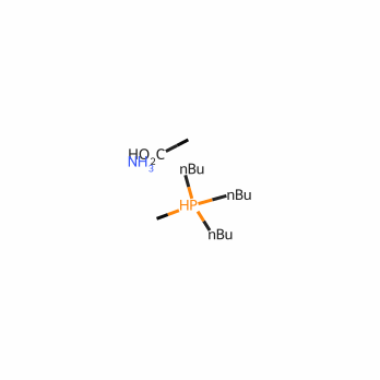 CC(=O)O.CCCC[PH](C)(CCCC)CCCC.N